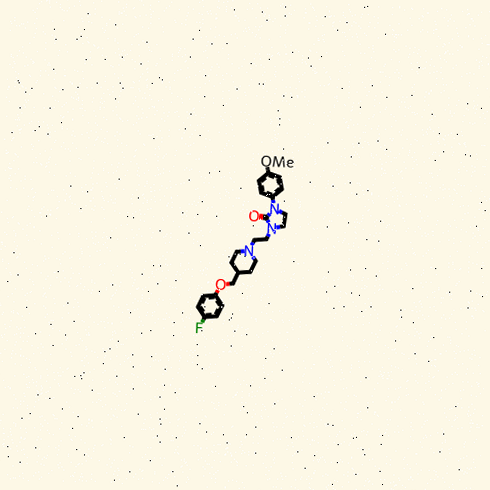 COc1ccc(N2CCN(CCN3CCC(COc4ccc(F)cc4)CC3)C2=O)cc1